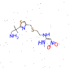 CN/C(=C\[N+](=O)[O-])NCCSCc1csc(C(C)(C)CN)n1